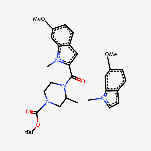 COc1ccc2cc(C(=O)N3CCN(C(=O)OC(C)(C)C)CC3C)n(C)c2c1.COc1ccc2ccn(C)c2c1